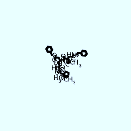 CC(C)C(CC(=O)NOCc1ccccc1)C(=O)NC(CC(=O)OCc1ccccc1)C(=O)CNS(=O)(=O)CC12CCC(CC1=O)C2(C)C